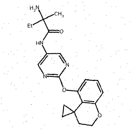 CCC(C)(N)C(=O)Nc1cnc(Oc2cccc3c2C2(CCO3)CC2)nc1